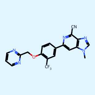 Cn1cnc2c(C#N)nc(-c3ccc(OCc4ncccn4)c(C(F)(F)F)c3)cc21